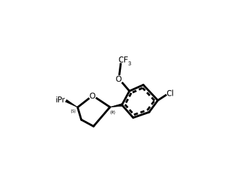 CC(C)[C@@H]1CC[C@H](c2ccc(Cl)cc2OC(F)(F)F)O1